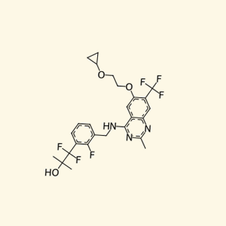 Cc1nc(NCc2cccc(C(F)(F)C(C)(C)O)c2F)c2cc(OCCOC3CC3)c(C(F)(F)F)cc2n1